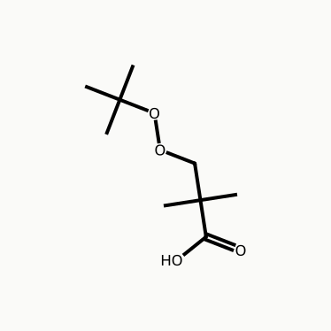 CC(C)(C)OOCC(C)(C)C(=O)O